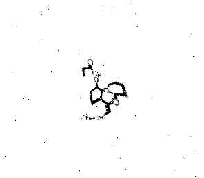 CCC(=O)O.CCCCCCC=C(OC1CCCCO1)C1CCC(=O)C1